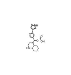 O=C(c1csc(-c2cn[nH]c2)c1)N1CCNC2CCCCC21.O=CO